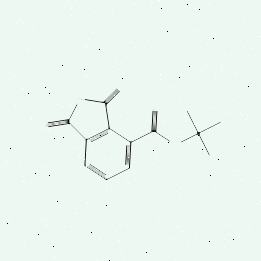 CC(C)(C)OC(=O)c1cccc2c1C(=O)NC2=O